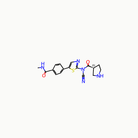 CNC(=O)c1ccc(-c2cnc(N(C#N)C(=O)[C@H]3CCNC3)s2)cc1